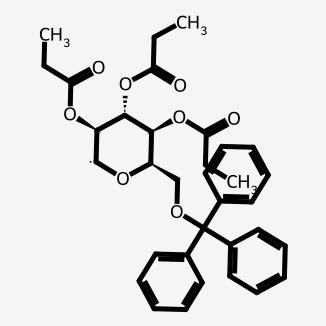 CCC(=O)O[C@@H]1[C@@H](OC(=O)CC)[C@@H](COC(c2ccccc2)(c2ccccc2)c2ccccc2)O[CH][C@H]1OC(=O)CC